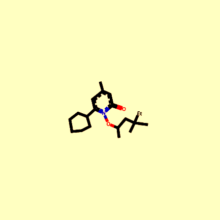 CCC(C)(C)CC(C)On1c(C2CCCCC2)cc(C)cc1=O